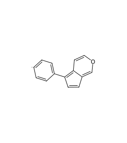 [c]1ccc(-c2ccc3coccc2-3)cc1